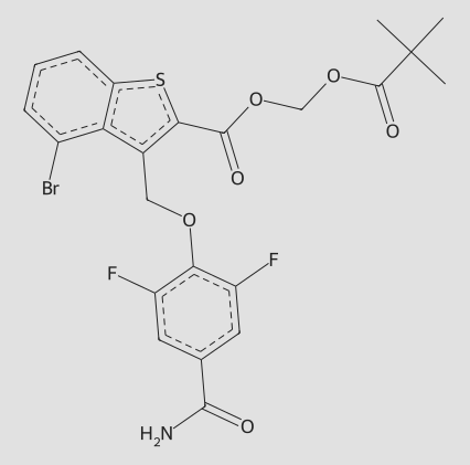 CC(C)(C)C(=O)OCOC(=O)c1sc2cccc(Br)c2c1COc1c(F)cc(C(N)=O)cc1F